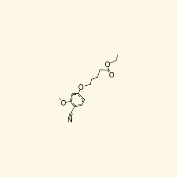 CCOC(=O)CCCCOc1ccc(C#N)c(OC)c1